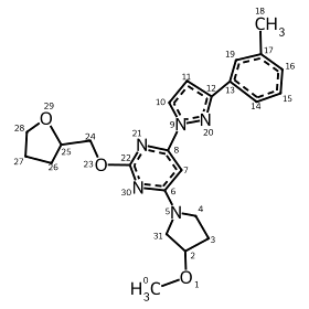 COC1CCN(c2cc(-n3ccc(-c4cccc(C)c4)n3)nc(OCC3CCCO3)n2)C1